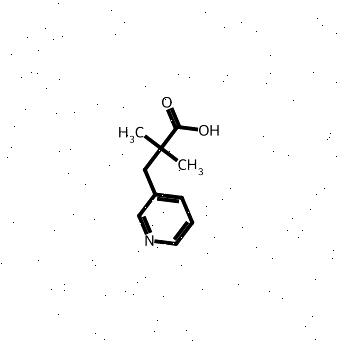 CC(C)(Cc1cccnc1)C(=O)O